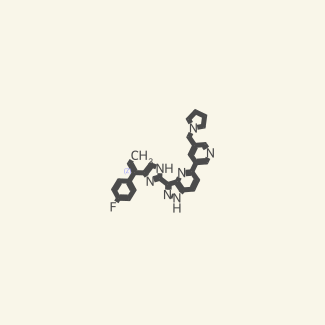 C/C=C(/c1ccc(F)cc1)c1c[nH]c(-c2n[nH]c3ccc(-c4cncc(CN5CCCC5)c4)nc23)n1